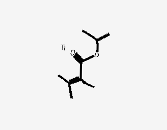 CC(C)=C(C)C(=O)OC(C)C.[Ti]